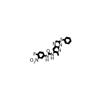 Cc1nc2nc(Sc3ccccc3)cnc2cc1NC(=O)Nc1ccc(F)c([N+](=O)[O-])c1